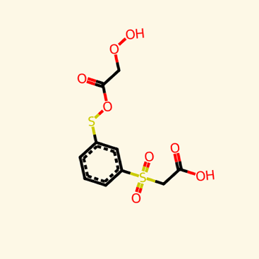 O=C(O)CS(=O)(=O)c1cccc(SOC(=O)COO)c1